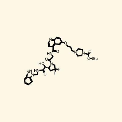 CC(C)(C)OC(=O)N1CCN(CCCOc2ccc3nccc(C(=O)NCC(=O)N4CC(F)(F)C[C@H]4C(O)C(=O)NCn4nnc5ccccc54)c3c2)CC1